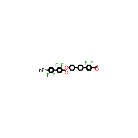 CCCc1ccc(-c2ccc(C(=O)OC3CCC(C4CCC(c5ccc(C6CO6)c(F)c5F)CC4)CC3)c(F)c2F)c(F)c1F